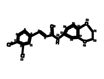 O=C(/C=C/c1ccc(Cl)c(Cl)c1)Nc1ccc2c(c1)OCCO2